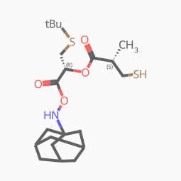 C[C@H](CS)C(=O)O[C@@H](CSC(C)(C)C)C(=O)ONC12CC3CC(CC(C3)C1)C2